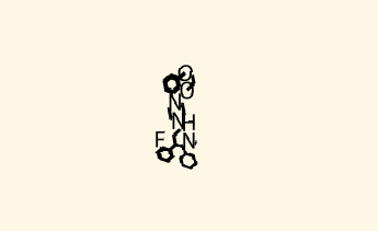 CNC(C1CCCCC1)C(CCN1CCN(c2cccc3c2OCCO3)CC1)c1ccccc1F